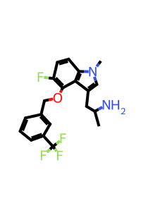 CC(N)Cc1cn(C)c2ccc(F)c(OCc3cccc(C(F)(F)F)c3)c12